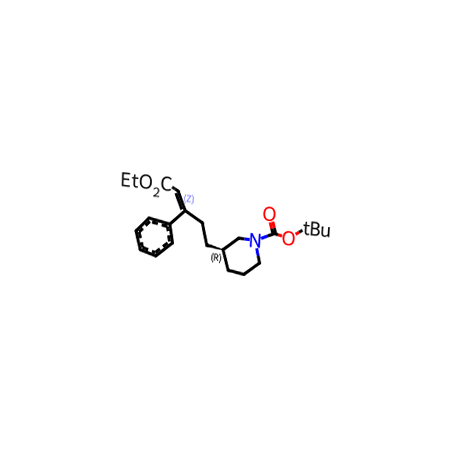 CCOC(=O)/C=C(/CC[C@@H]1CCCN(C(=O)OC(C)(C)C)C1)c1ccccc1